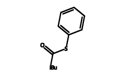 CCC(C)C(=O)Sc1ccccc1